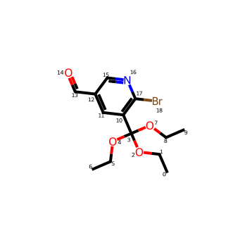 CCOC(OCC)(OCC)c1cc(C=O)cnc1Br